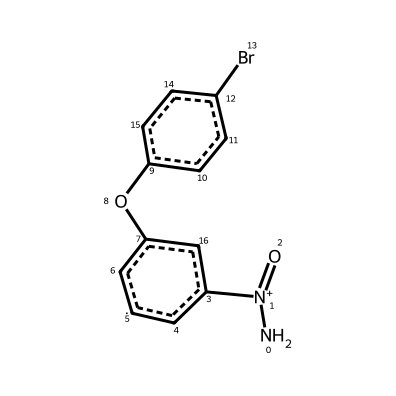 N[N+](=O)c1c[c]cc(Oc2ccc(Br)cc2)c1